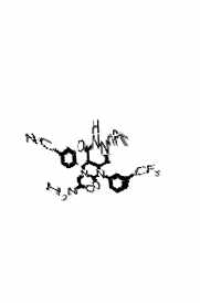 CCCN1CC2=C(C(=O)N1)[C@@H](c1ccc(C#N)cc1)N(CC(N)=O)C(=O)N2c1cccc(C(F)(F)F)c1